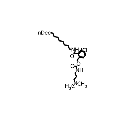 CCCCCCCCCCCCCCCCCCNC(=O)c1ccccc1COC(=O)NCCCN(C)C.Cl